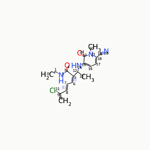 C=CNC(=O)/C(=C\C=C\C(=C)Cl)C(C)Nc1ccc(C#N)n(C)c1=O